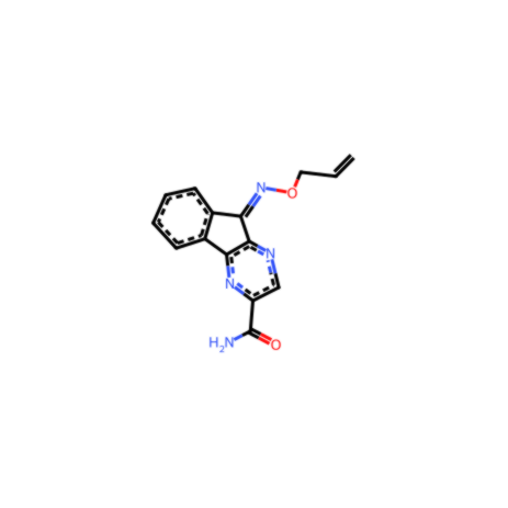 C=CCON=C1c2ccccc2-c2nc(C(N)=O)cnc21